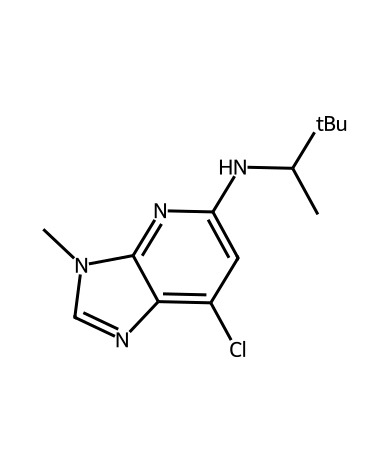 CC(Nc1cc(Cl)c2ncn(C)c2n1)C(C)(C)C